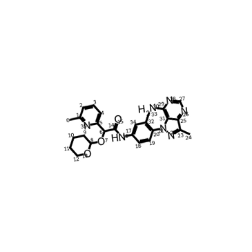 Cc1cccc(C(OC2CCCCO2)C(=O)Nc2ccc(-n3nc(C)c4ncnc(N)c43)c(C)c2)n1